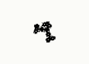 CC1(C)c2ccccc2-c2c(-c3nc(-c4ccc(-n5c6ccccc6c6ccccc65)cc4)nc(-c4ccc(-n5c6ccccc6c6ccccc65)cc4)n3)cccc21